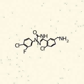 NCc1ccc(Cl)c(-c2nn(-c3ccc(Cl)c(F)c3)c(=O)[nH]2)c1